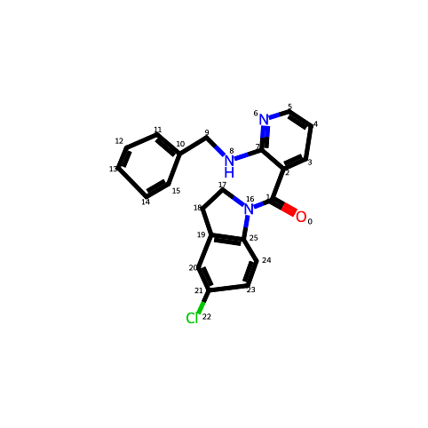 O=C(c1cccnc1NCc1ccccc1)N1CCc2cc(Cl)ccc21